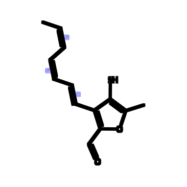 C\C=C/C=C\C=C\c1c(C=O)oc(C)c1S